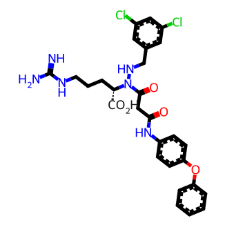 N=C(N)NCCC[C@@H](C(=O)O)N(NCc1cc(Cl)cc(Cl)c1)C(=O)CC(=O)Nc1ccc(Oc2ccccc2)cc1